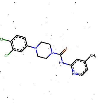 Cc1ccnc(NC(=S)N2CCN(c3ccc(Cl)c(Cl)c3)CC2)c1